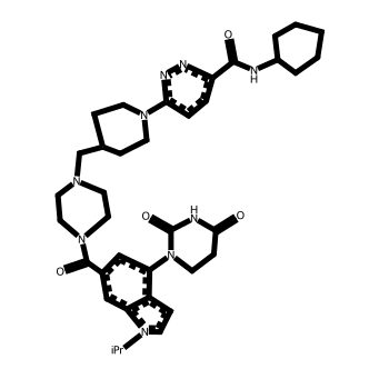 CC(C)n1ccc2c(N3CCC(=O)NC3=O)cc(C(=O)N3CCN(CC4CCN(c5ccc(C(=O)NC6CCCCC6)nn5)CC4)CC3)cc21